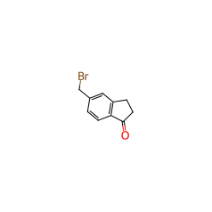 O=C1CCc2cc(CBr)ccc21